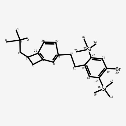 CC(C)(C)CC1Cc2cc(CCc3cc([Si](C)(C)C)c(Br)cc3[Si](C)(C)C)ccc21